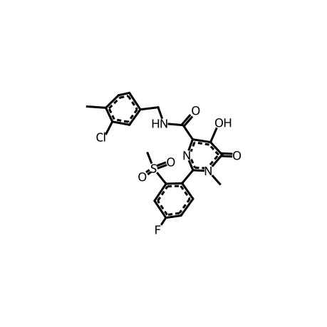 Cc1ccc(CNC(=O)c2nc(-c3ccc(F)cc3S(C)(=O)=O)n(C)c(=O)c2O)cc1Cl